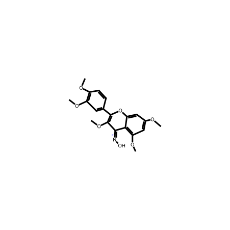 COc1cc(OC)c2/c(=N\O)c(OC)c(-c3ccc(OC)c(OC)c3)oc2c1